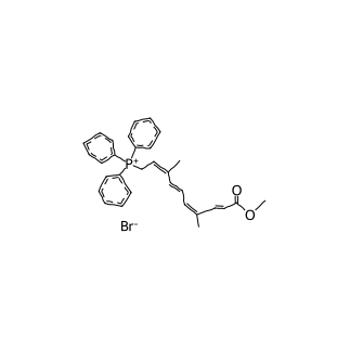 COC(=O)C=CC(C)=CC=CC(C)=CC[P+](c1ccccc1)(c1ccccc1)c1ccccc1.[Br-]